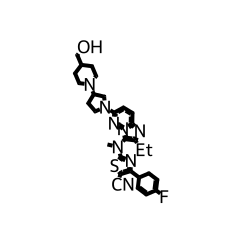 CCc1nc2ccc(N3CCC(N4CCC(CO)CC4)C3)nn2c1N(C)c1nc(C2C=CC(F)=CC2)c(C#N)s1